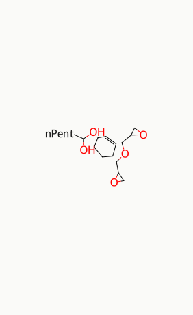 C(OCC1CO1)C1CO1.C1=CCCCC1.CCCCCC(O)O